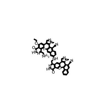 CCOc1cc(-c2cnn(C)c2-c2c(F)cc3cc(NCc4n[nH]c(=O)c5ccc(-c6cnn(C)c6-c6c(C#N)cc7ccccc7c6Cl)cc45)ccc3c2C#N)cc2c(CN)n[nH]c(=O)c12